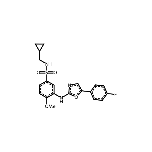 COc1ccc(S(=O)(=O)NCC2CC2)cc1Nc1ncc(-c2ccc(F)cc2)o1